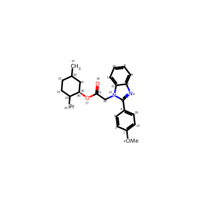 COc1ccc(-c2nc3ccccc3n2CC(=O)O[C@@H]2CC(C)CCC2C(C)C)cc1